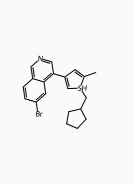 CC1=CC(c2cncc3ccc(Br)cc23)=C[SH]1CC1CCCC1